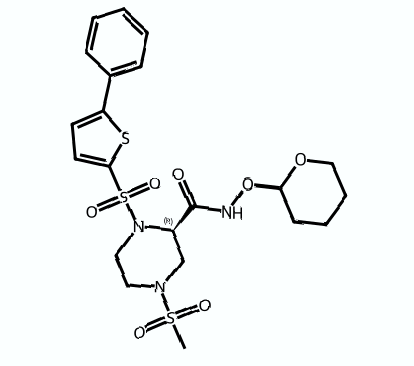 CS(=O)(=O)N1CCN(S(=O)(=O)c2ccc(-c3ccccc3)s2)[C@@H](C(=O)NOC2CCCCO2)C1